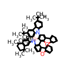 Cc1cc2c(cc1N1B3c4c(cc5c(oc6ccccc65)c4-c4c1ccc1oc5ccccc5c41)-n1c4ccc(C(C)(C)C)cc4c4cc(C(C)(C)C)cc3c41)C(C)(C)CCC2(C)C